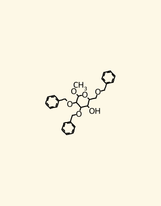 COC1OC(COCc2ccccc2)C(O)C(OCc2ccccc2)C1OCc1ccccc1